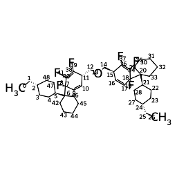 CC[C@H]1CC[C@H](C2([C@@]3(F)C=C[C@@H](COC[C@@H]4C=C[C@](F)(C5([C@H]6CC[C@H](CC)CC6)CCCCC5)C(F)=C4F)C(F)=C3F)CCCCC2)CC1